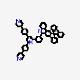 c1cc(-c2cc(-c3ccc(-c4ccncc4)cc3)cc(-c3ccc(-c4ccncc4)cc3)n2)cc(-c2nc3ccccc3c3cc4c(cc23)-c2ccccc2C42c3ccccc3-c3ccccc32)c1